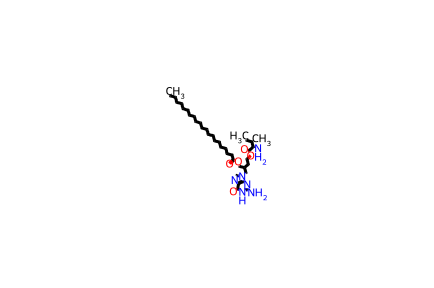 CCCCCCCCCCCCCCCCCCCCCC(=O)OCC(CCOC(=O)[C@@H](N)[C@@H](C)CC)Cn1cnc2c(=O)[nH]c(N)nc21